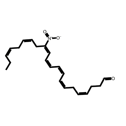 CC/C=C\C/C=C\C\C(=C/C=C\C=C/C=C\C/C=C\CC[C]=O)[N+](=O)[O-]